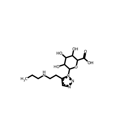 CCCNCCc1cnnn1C1OC(C(=O)O)C(O)C(O)C1O